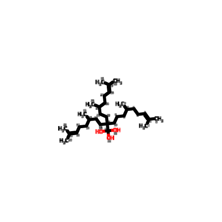 CC(C)=CCCC(C)CCCC(CCC(C)CCC=C(C)C)(CCC(C)CCC=C(C)C)C(O)(O)O